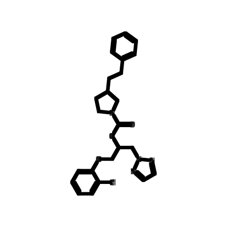 O=C(OC(COc1ccccc1Cl)Cn1nccn1)N1CCC(CCc2ccccc2)C1